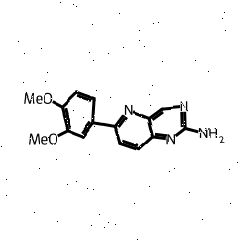 COc1ccc(-c2ccc3nc(N)ncc3n2)cc1OC